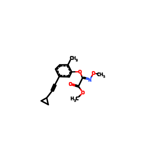 CO/N=C(\Oc1cc(C#CC2CC2)ccc1C)C(=O)OC